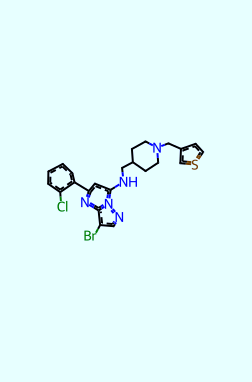 Clc1ccccc1-c1cc(NCC2CCN(Cc3ccsc3)CC2)n2ncc(Br)c2n1